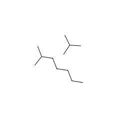 CC(C)C.CCCCCC(C)C